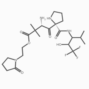 CC(C)C(NC(=O)[C@@]1(C(=O)[C@@H](N)C(C)(C)C(=O)OCCN2CCCC2=O)CCCN1)C(O)C(F)(F)F